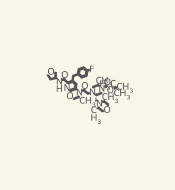 C[C@@H]1CN(CC(=O)N2c3cc(Cc4ccc(F)cc4)c(C(=O)N[C@H]4CCOC4)nc3OC[C@@H]2C)[C@@H](CN2[C@H](C)COC[C@H]2C)CN1C(=O)OC(C)(C)C